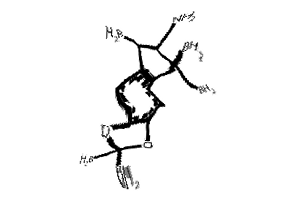 BC1c2cc3c(cc2C(B)(B)C1N)OC(B)(B)O3